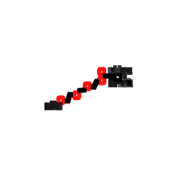 CCCCCCC(C)(CCCCCC)C(=O)OCCOCCOCCOCCCC